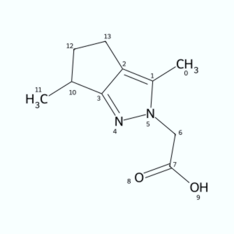 Cc1c2c(nn1CC(=O)O)C(C)CC2